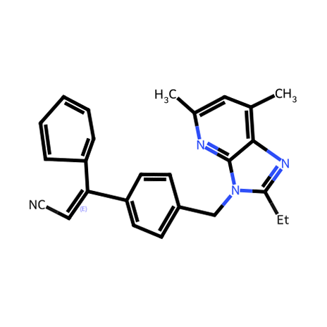 CCc1nc2c(C)cc(C)nc2n1Cc1ccc(/C(=C/C#N)c2ccccc2)cc1